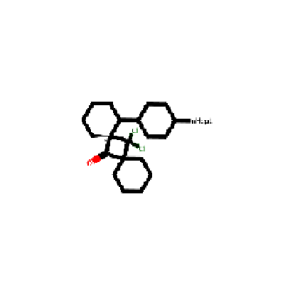 CCCCCCCC1CCC(C2CCCC[C@@]23C(=O)C2(CCCCC2)C3(Cl)Cl)CC1